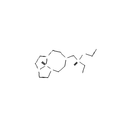 CCOP(=O)(CC)CN1CCN2CCN3CCN(CC1)P23=O